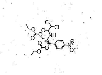 CCOC(=O)OC[C@@H](NC(=O)C(Cl)Cl)[C@H](OC(=O)OCC)c1ccc([N+](=O)[O-])cc1